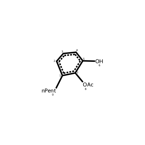 CCCCCc1cccc(O)c1OC(C)=O